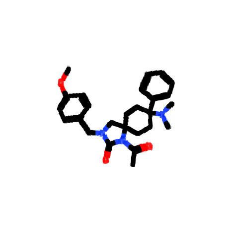 COc1ccc(CN2CC3(CCC(c4ccccc4)(N(C)C)CC3)N(C(C)=O)C2=O)cc1